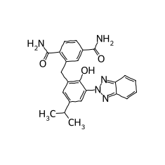 CC(C)c1cc(Cc2cc(C(N)=O)ccc2C(N)=O)c(O)c(-n2nc3ccccc3n2)c1